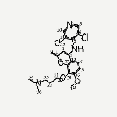 C=C1C=C(Nc2c(Cl)cncc2Cl)c2ccc(OC)c(OCCCN(C)C)c2O1